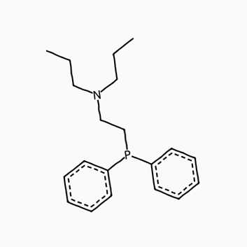 CCCN(CCC)CCP(c1ccccc1)c1ccccc1